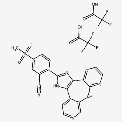 CS(=O)(=O)c1ccc(-c2nc3c([nH]2)-c2ccncc2Nc2ncccc2-3)c(C#N)c1.O=C(O)C(F)(F)F.O=C(O)C(F)(F)F